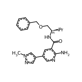 CC(C)[C@H](COCc1ccccc1)NC(=O)c1cc(-c2cnn(C)c2)cnc1N